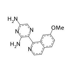 COc1ccc2ccnc(-c3ncc(N)nc3N)c2c1